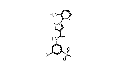 CS(=O)(=O)c1cc(Br)cc(NC(=O)c2cnn(-c3ncccc3N)c2)c1